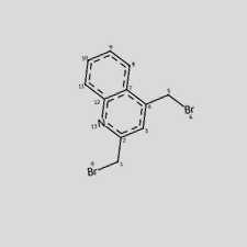 BrCc1cc(CBr)c2ccccc2n1